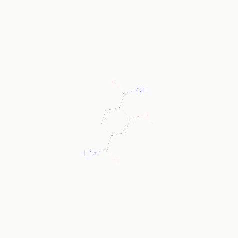 COc1cc(C(N)=O)ccc1C(N)=O